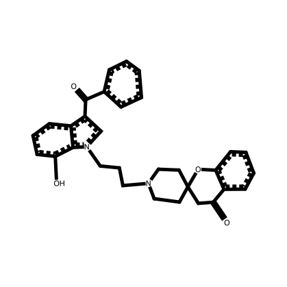 O=C1CC2(CCN(CCCn3cc(C(=O)c4ccccc4)c4cccc(O)c43)CC2)Oc2ccccc21